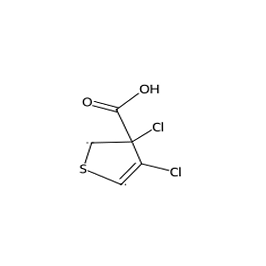 O=C(O)C1(Cl)[CH]S[C]=C1Cl